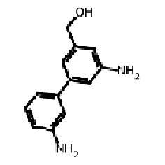 Nc1cccc(-c2cc(N)cc(CO)c2)c1